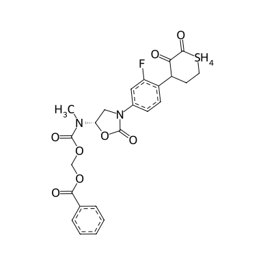 CN(C(=O)OCOC(=O)c1ccccc1)[C@@H]1CN(c2ccc(C3CC[SH4]C(=O)C3=O)c(F)c2)C(=O)O1